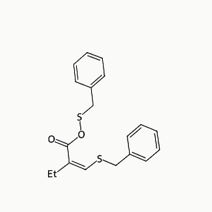 CCC(=CSCc1ccccc1)C(=O)OSCc1ccccc1